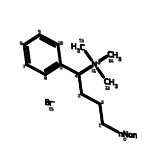 CCCCCCCCCCCCC(c1ccccc1)[N+](C)(C)C.[Br-]